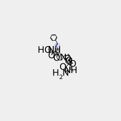 CCCC(CC(=O)[N+]1(C)CCO[C@H]([C@H](C/C=C/c2ccccc2)C(=O)NO)C1)(C(=O)NN)S(C)(=O)=O